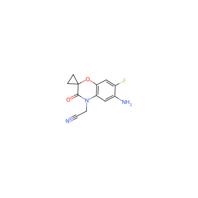 N#CCN1C(=O)C2(CC2)Oc2cc(F)c(N)cc21